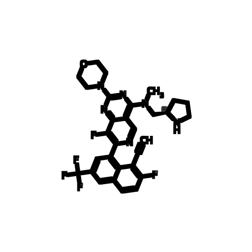 C#Cc1c(F)ccc2cc(C(F)(F)F)cc(-c3ncc4c(N(C)C[C@H]5CCCN5)nc(N5CCOCC5)nc4c3F)c12